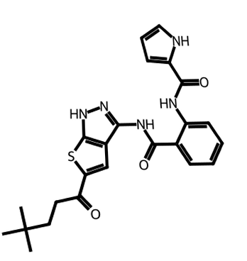 CC(C)(C)CCC(=O)c1cc2c(NC(=O)c3ccccc3NC(=O)c3ccc[nH]3)n[nH]c2s1